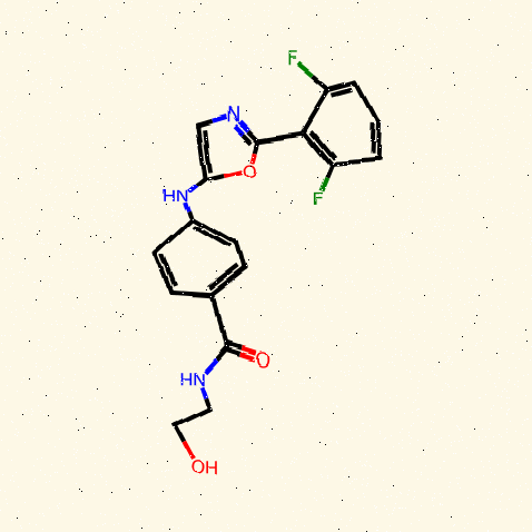 O=C(NCCO)c1ccc(Nc2cnc(-c3c(F)cccc3F)o2)cc1